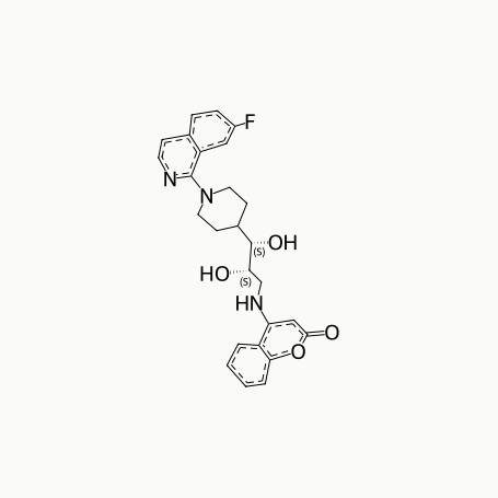 O=c1cc(NC[C@H](O)[C@@H](O)C2CCN(c3nccc4ccc(F)cc34)CC2)c2ccccc2o1